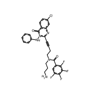 NCCCN(CCC#Cc1nc2cc(Cl)ccc2c(=O)n1Nc1ccccc1)C(=O)c1cc(F)c(F)c(F)c1F